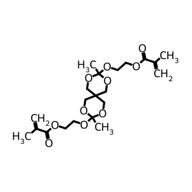 C=C(C)C(=O)OCCOC1(C)OCC2(CO1)COC(C)(OCCOC(=O)C(=C)C)OC2